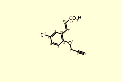 C#CCOc1ccc(Cl)cc1C=CC(=O)O